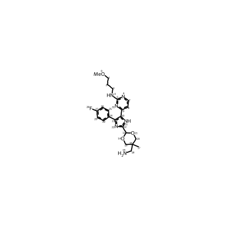 COCCCNc1nccc(-c2[nH]c(C3OCC(C)(CN)CO3)nc2-c2ccc(F)cc2)n1